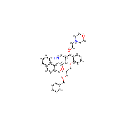 c1ccc(COCCCOc2ccccc2C(OCCN2CCOCC2)[C@@H]2CNC[C@H](OCc3ccc4ccccc4c3)C2)cc1